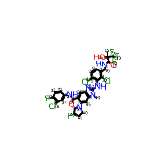 Cn1c(Nc2c(Cl)ccc(CNC(=O)[C@](C)(O)C(F)(F)F)c2Cl)nc2cc(C(=O)Nc3ccc(F)c(Cl)c3)c(N3CC[C@@H](F)C3)cc21